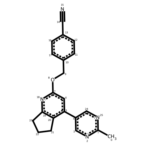 Cc1ncc(-c2cc(OCc3ccc(C#N)cc3)nc3c2CCC3)cn1